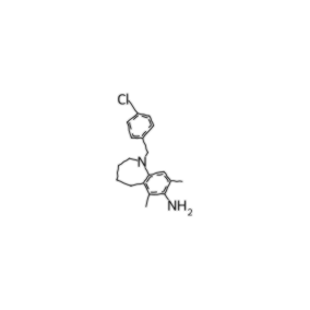 Cc1cc2c(c(C)c1N)CCCCN2Cc1ccc(Cl)cc1